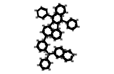 C1=CC(c2c3c(c(-c4ccccc4)c4ccccc24)-c2cccc4c(-c5cccc(N(c6ccccc6)c6ccc7cnccc7c6)c5)ccc-3c24)=CCC1